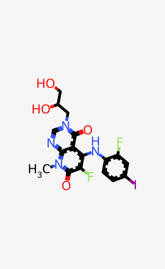 Cn1c(=O)c(F)c(Nc2ccc(I)cc2F)c2c(=O)n(CC(O)CO)cnc21